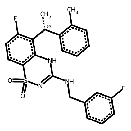 Cc1ccccc1[C@@H](C)c1c(F)ccc2c1NC(NCc1cccc(F)c1)=NS2(=O)=O